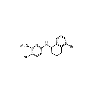 COc1nc(NC2CCCc3c(Br)cccc32)ccc1C#N